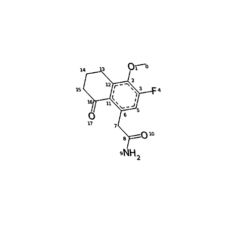 COc1c(F)cc(CC(N)=O)c2c1CCCC2=O